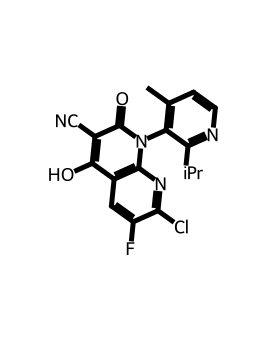 Cc1ccnc(C(C)C)c1-n1c(=O)c(C#N)c(O)c2cc(F)c(Cl)nc21